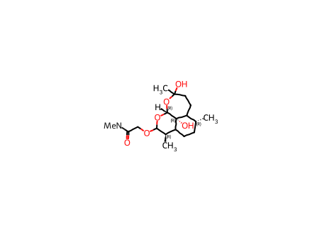 CNC(=O)COC1O[C@@H]2OC(C)(O)CCC3[C@H](C)CCC([C@H]1C)[C@]32O